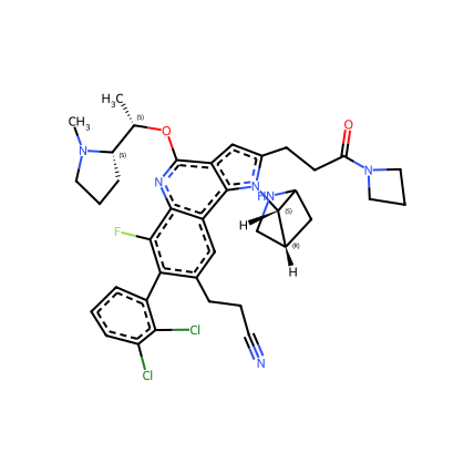 C[C@H](Oc1nc2c(F)c(-c3cccc(Cl)c3Cl)c(CCC#N)cc2c2c1cc(CCC(=O)N1CCC1)n2[C@@H]1C2C[C@@H]1CN2)[C@@H]1CCCN1C